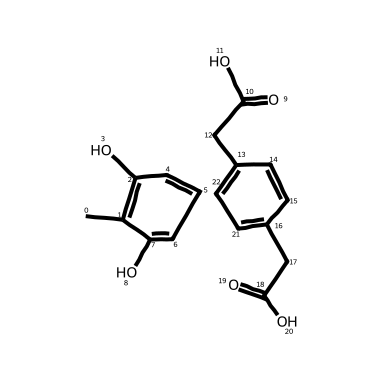 Cc1c(O)cccc1O.O=C(O)Cc1ccc(CC(=O)O)cc1